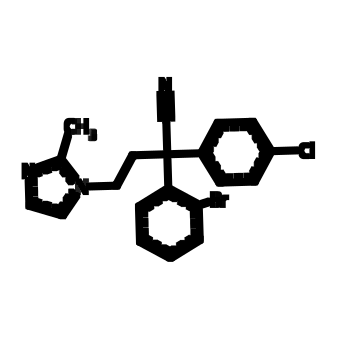 Cc1nccn1CCC(C#N)(c1ccc(Cl)cc1)c1ccccc1Br